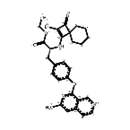 CCOC(=O)[C@H](Cc1ccc(Oc2nc(C)cc3ccncc23)cc1)NC1=C(Br)C(=O)C12CCCCC2